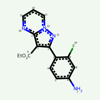 CCOC(=O)c1c(-c2ccc(N)cc2F)nn2cccnc12